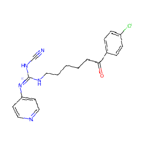 N#CN/C(=N/c1ccncc1)NCCCCCC(=O)c1ccc(Cl)cc1